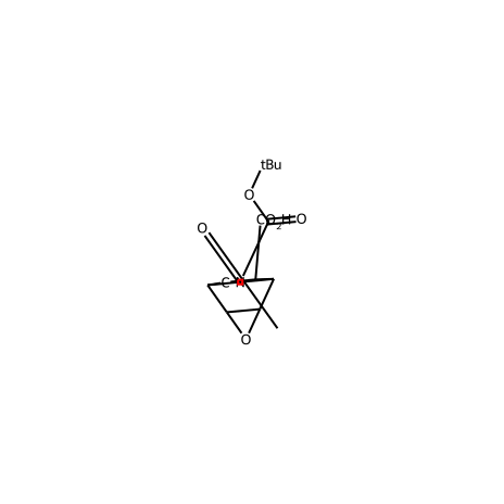 CC(C)(C)OC(=O)N1C(=O)C2CC(C(=O)O)C1C1OC21